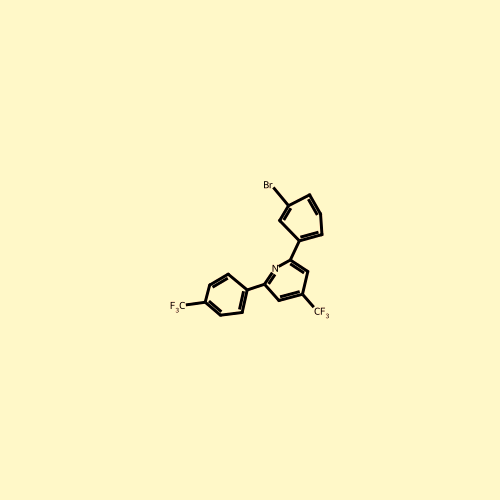 FC(F)(F)c1ccc(-c2cc(C(F)(F)F)cc(-c3cccc(Br)c3)n2)cc1